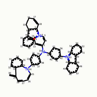 C=C/C=C(\C=C/n1c2c(c3ccccc31)CCC=C2)N(c1ccc(N2/C=C\C=C/C(=C)c3ccccc32)cc1)c1ccc(-n2c3ccccc3c3ccccc32)cc1